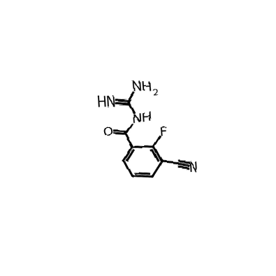 N#Cc1cccc(C(=O)NC(=N)N)c1F